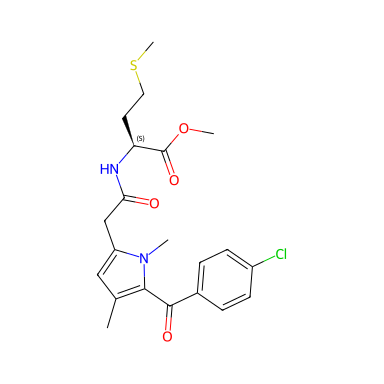 COC(=O)[C@H](CCSC)NC(=O)Cc1cc(C)c(C(=O)c2ccc(Cl)cc2)n1C